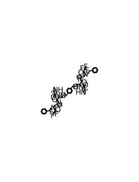 CN[C@@H](C)C(=O)N[C@@H](COCc1ccc(COC[C@H](NC(=O)[C@H](C)NC)C(=O)N2CCC[C@H]2CN(CCc2ccccc2)C(=O)C(F)(F)F)cc1)C(=O)N1CCC[C@H]1CN(CCc1ccccc1)C(=O)C(F)(F)F